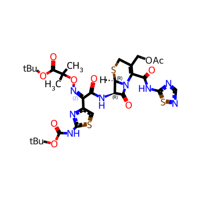 CC(=O)OCC1=C(C(=O)Nc2ncns2)N2C(=O)[C@@H](NC(=O)/C(=N\OC(C)(C)C(=O)OC(C)(C)C)c3csc(NC(=O)OC(C)(C)C)n3)[C@H]2SC1